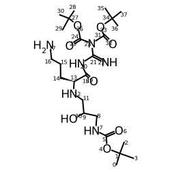 CC(C)(C)OC(=O)NCC(O)CN[C@@H](CCCN)C(=O)NC(=N)N(C(=O)OC(C)(C)C)C(=O)OC(C)(C)C